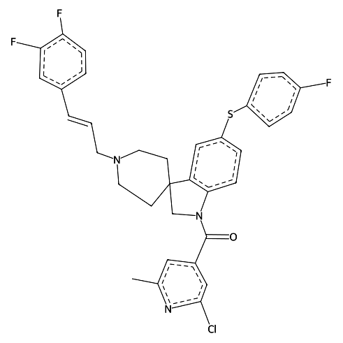 Cc1cc(C(=O)N2CC3(CCN(C/C=C/c4ccc(F)c(F)c4)CC3)c3cc(Sc4ccc(F)cc4)ccc32)cc(Cl)n1